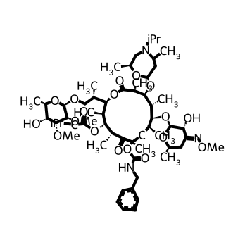 CON=C1C[C@@H](C)O[C@@H](O[C@@H]2[C@@H](C)[C@H](O[C@H]3CC(C)N(C(C)C)C[C@H](C)O3)[C@@H](C)C(=O)O[C@H]([C@@H](C)CO[C@@H]3O[C@H](C)[C@@H](O)[C@@H](OC)[C@H]3OC)[C@H](C)[C@@H](OC(=O)CC(C)C)[C@@H](C)C(=O)[C@@](C)(OC(=O)NCc3ccccc3)C[C@@H]2C)[C@@H]1O